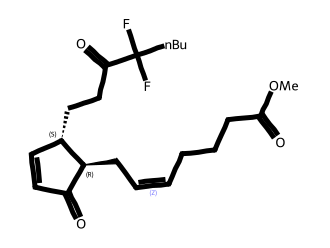 CCCCC(F)(F)C(=O)CC[C@H]1C=CC(=O)[C@@H]1C/C=C\CCCC(=O)OC